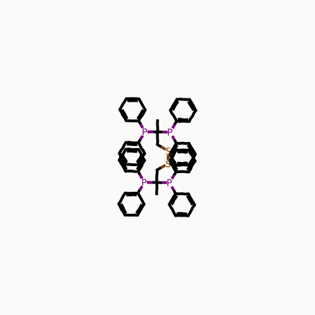 CC(CSSCC(C)(P(c1ccccc1)c1ccccc1)P(c1ccccc1)c1ccccc1)(P(c1ccccc1)c1ccccc1)P(c1ccccc1)c1ccccc1